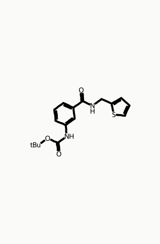 CC(C)(C)OC(=O)Nc1cccc(C(=O)NCc2cccs2)c1